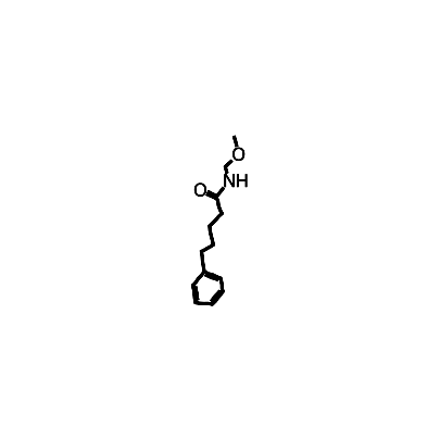 COCNC(=O)CCCCc1ccccc1